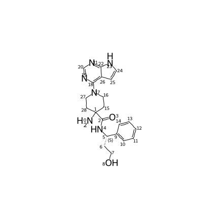 NC1(C(=O)N[C@@H](CCO)c2ccccc2)CCN(c2ncnc3[nH]ccc23)CC1